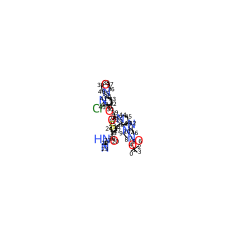 CC(C)(C)OC(=O)N1CCn2c(nc3c2C(c2cc(C(=O)NC#N)cs2)N(C(=O)COc2ccc(N4CCOCC4)nc2Cl)CC3)C1